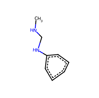 CNCNc1ccccc1